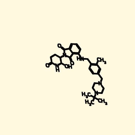 Cc1cc(CN2CCN(C(C)(C)C)CC2)ccc1CNc1cccc2c1C(=O)N(C1CCC(=O)NC1O)C2=O